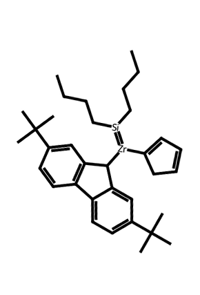 CCCC[Si](CCCC)=[Zr]([C]1=CC=CC1)[CH]1c2cc(C(C)(C)C)ccc2-c2ccc(C(C)(C)C)cc21